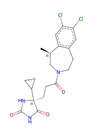 C[C@@H]1CN(C(=O)CC[C@@]2(C3CC3)NC(=O)NC2=O)CCc2cc(Cl)c(Cl)cc21